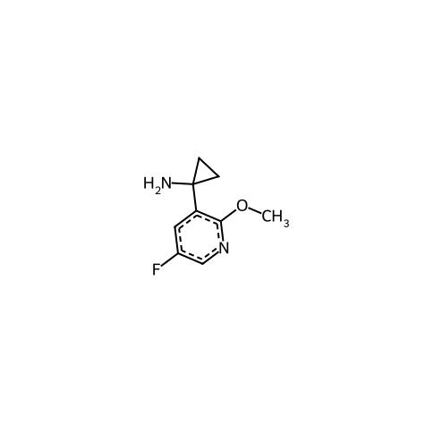 COc1ncc(F)cc1C1(N)CC1